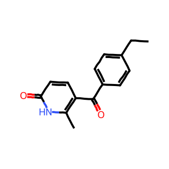 CCc1ccc(C(=O)c2ccc(=O)[nH]c2C)cc1